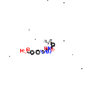 Cc1cccc(C(=O)NCC(=O)NC2CN([C@H]3CC[C@@H](c4ccc(CC(=O)O)cc4)CC3)C2)c1